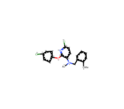 COc1ccccc1CN(C(C)=O)c1ccc(Cl)nc1Oc1ccc(Cl)cc1